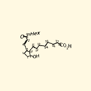 CCCCCCC(=O)C=CC1CCC(O)C1CCCCCCCC(=O)O